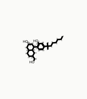 CCCCCCC(C)(C)c1ccc(C2C[C@@H](O)CC3CCC(CO)CC32)c(O)c1